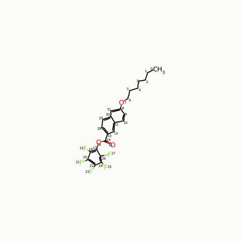 CCCCCCCOc1ccc2cc(C(=O)Oc3c(F)c(F)c(F)c(F)c3F)ccc2c1